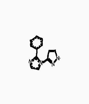 C1=CC(n2ccnc2-c2ccccc2)=N[N]1